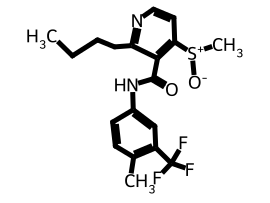 CCCCc1nccc([S+](C)[O-])c1C(=O)Nc1ccc(C)c(C(F)(F)F)c1